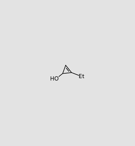 CCC1=CC1O